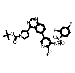 COc1ncc(-c2ccc3ncnc(C4CCN(C(=O)OC(C)(C)C)C4)c3c2)cc1NS(=O)(=O)c1ccc(F)cc1F